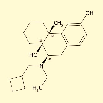 CCN(CC1CCC1)[C@@H]1Cc2ccc(O)cc2[C@@]2(C)CCCC[C@@]12O